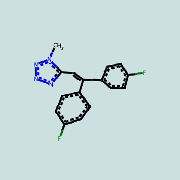 Cn1nnnc1[C]=C(c1ccc(F)cc1)c1ccc(F)cc1